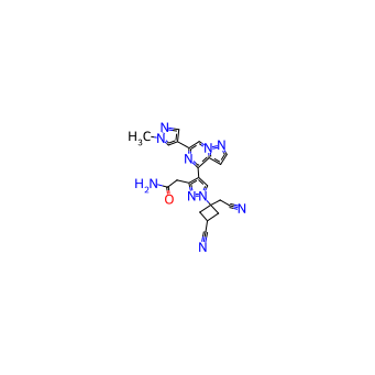 Cn1cc(-c2cn3nccc3c(-c3cn(C4(CC#N)CC(C#N)C4)nc3CC(N)=O)n2)cn1